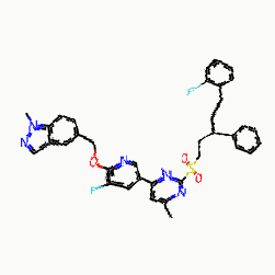 Cc1cc(-c2cnc(OCc3ccc4c(cnn4C)c3)c(F)c2)nc(S(=O)(=O)CCC(CCc2ccccc2F)c2ccccc2)n1